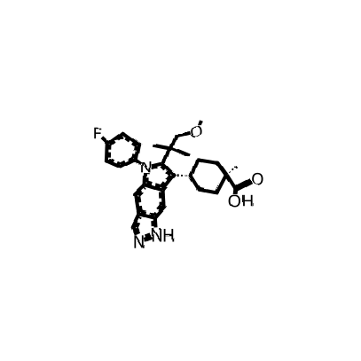 COCC(C)(C)c1c([C@H]2CC[C@](C)(C(=O)O)CC2)c2cc3[nH]ncc3cc2n1-c1ccc(F)cc1